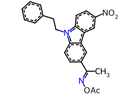 CC(=O)O/N=C(\C)c1ccc2c(c1)c1cc([N+](=O)[O-])ccc1n2CCc1ccccc1